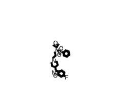 O=S(=O)(c1ccccc1)N(CCCN1CCC(c2noc3cc(F)ccc23)CC1)C1COC1